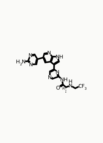 C[C@@H](NCC(F)(F)F)C(=O)Nc1cncc(-c2c[nH]c3ncc(-c4cnc(N)nc4)cc23)n1